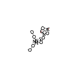 c1ccc(-c2ccc(-c3nc(-c4ccc(-c5ccccc5)cc4)nc(-c4cccc5c4sc4cc(N6c7ccccc7C7(c8ccccc8-c8ccccc87)c7ccccc76)ccc45)n3)cc2)cc1